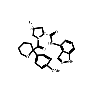 COc1ccc(C2(C(=O)N3C[C@H](F)C[C@@H]3C(=O)Nc3cccc4[nH]ncc34)CCCCO2)cc1